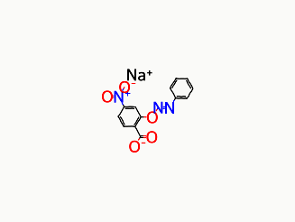 O=C([O-])c1ccc([N+](=O)[O-])cc1ON=Nc1ccccc1.[Na+]